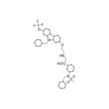 CS(=O)(=O)N(Cc1ccccc1)c1cccc([C@@H](O)CNCCOc2ccc3c4ccc(OC(F)(F)F)cc4n(Cc4ccccc4)c3c2)c1